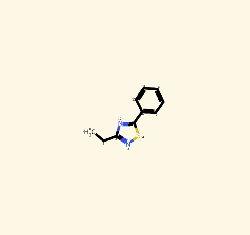 [CH2]Cc1nsc(-c2ccccc2)n1